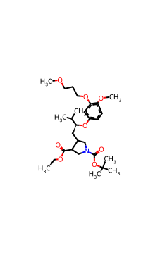 CCOC(=O)C1CN(C(=O)OC(C)(C)C)CC1C[C@H](Oc1ccc(OC)c(OCCCOC)c1)C(C)C